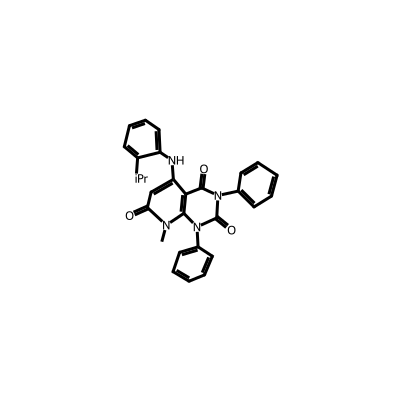 CC(C)c1ccccc1Nc1cc(=O)n(C)c2c1c(=O)n(-c1ccccc1)c(=O)n2-c1ccccc1